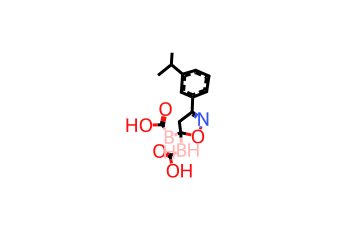 CC(C)c1cccc(C2=NOC(BC(=O)O)(BC(=O)O)C2)c1